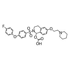 O=C(O)OC1c2ccc(OCCN3CCCCC3)cc2CCN1S(=O)(=O)c1ccc(Oc2ccc(F)cc2)cc1